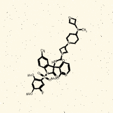 COc1cc(OC)c(S(=O)(=O)N2C(=O)C(NC(=O)N3CC(N4CCC(N(C)C5COC5)CC4)C3)(c3cccnc3OC)c3cc(C#N)ccc32)cc1F